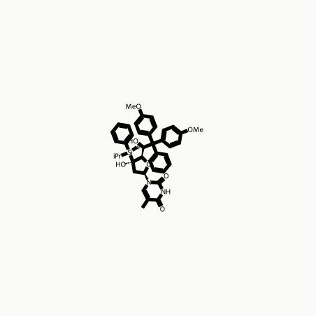 COc1ccc(C(c2ccccc2)(c2ccc(OC)cc2)C(O)[C@H]2O[C@@H](n3cc(C)c(=O)[nH]c3=O)C[C@@]2(O)[Si](c2ccccc2)(C(C)C)C(C)C)cc1